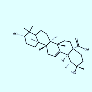 C[C@@H]1[C@H]2C3=CC[C@@H]4[C@@]5(C)CC[C@H](O)C(C)(C)C5CC[C@@]4(C)[C@]3(C)CC[C@@]2(C(=O)O)CC[C@]1(C)O